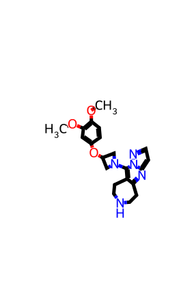 COc1ccc(OC2CN(c3c4c(nc5ccnn35)CCNCC4)C2)cc1OC